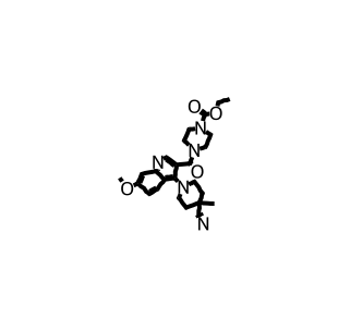 CCOC(=O)N1CCN(C(=O)c2cnc3cc(OC)ccc3c2N2CCC(C)(C#N)CC2)CC1